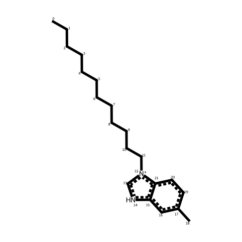 CCCCCCCCCCCC[n+]1c[nH]c2cc(C)ccc21